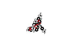 O=C1NCCN1CCN1CCC2(OC(=O)N(Cc3ccc(OC(F)F)cc3)C2Cc2ccc(F)cc2)C(C2(Cc3ccc(F)cc3)N(Cc3ccc(OC(F)F)cc3)C(=O)OC23CCN(CCC2OCCO2)CC3)C1